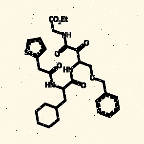 CCOC(=O)CNC(=O)C(=O)C(COCc1ccccc1)NC(=O)C(CC1CCCCC1)NC(=O)Cc1cccs1